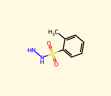 Cc1ccccc1S(=O)(=O)N[NH]